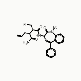 C=CC[C@H](C(N)=O)[C@@H](CC(C)C)C(=O)NC1N=C(c2ccccc2)c2ccccc2N(CC)C1=O